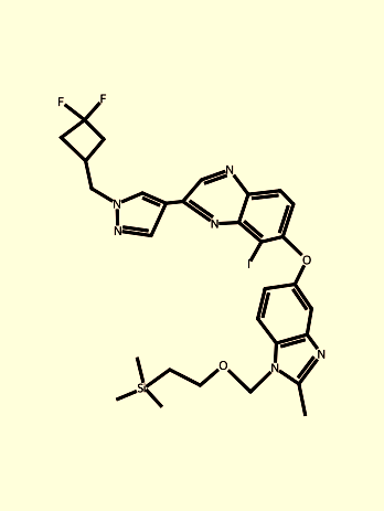 Cc1nc2cc(Oc3ccc4ncc(-c5cnn(CC6CC(F)(F)C6)c5)nc4c3I)ccc2n1COCC[Si](C)(C)C